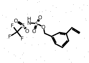 C=Cc1cccc(COS(=O)(=O)NS(=O)(=O)C(F)(F)F)c1